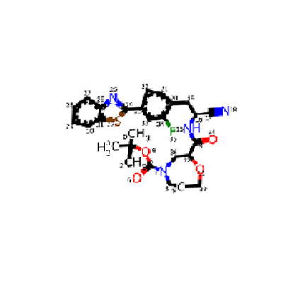 CC(C)(C)OC(=O)N1CCCOC(C(=O)N[C@H](C#N)Cc2ccc(-c3nc4ccccc4s3)cc2F)C1